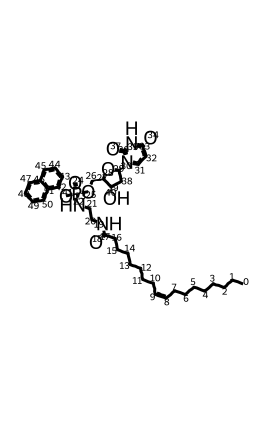 CCCCCCCC/C=C\CCCCCCCC(=O)NCCNP(=O)(OC[C@H]1O[C@@H](n2ccc(=O)[nH]c2=O)C[C@@H]1O)Oc1cccc2ccccc12